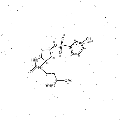 CCCCCC(CCN1C(=O)NC2C[C@@H](OS(=O)(=O)c3cccc(C)c3)CC21)OC(C)=O